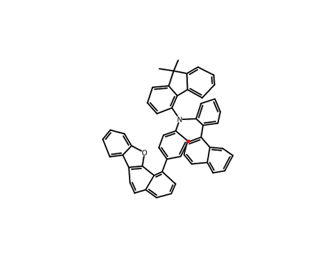 CC1(C)c2ccccc2-c2c(N(c3ccc(-c4cccc5ccc6c7ccccc7oc6c45)cc3)c3ccccc3-c3cccc4ccccc34)cccc21